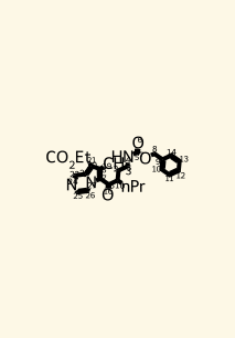 CCCC(CCNC(=O)OCc1ccccc1)C(=O)c1c(C)c(C(=O)OCC)c2cnccn12